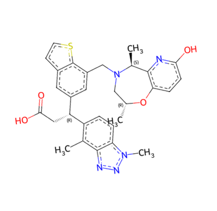 Cc1c([C@H](CC(=O)O)c2cc(CN3C[C@@H](C)Oc4ccc(O)nc4[C@@H]3C)c3sccc3c2)ccc2c1nnn2C